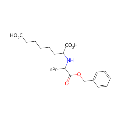 CCCC(NC(CCCCCC(=O)O)C(=O)O)C(=O)OCc1ccccc1